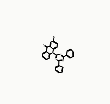 O=c1c2ccccc2n(-c2nc(-c3ccccc3)nc(-c3ccccc3)n2)c2ccc(Br)cc12